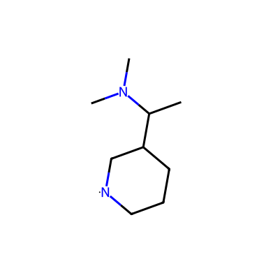 CC(C1CCC[N]C1)N(C)C